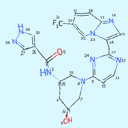 O=C(N[C@H]1C[C@H](O)CN(c2ccnc(-c3cnc4ccc(C(F)(F)F)cn34)n2)C1)c1cn[nH]c1